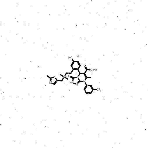 COC(=O)C1=C(C)N(c2cccc(C(F)(F)F)c2)c2n[nH]c(=O)n2C1c1ccc(C#N)cc1CC[N+](C)(C)Cc1cnc(C)s1.[Cl-]